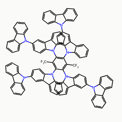 FC(F)(F)c1c(-n2c3ccccc3c3cc(-n4c5ccccc5c5ccccc54)ccc32)c(-n2c3ccccc3c3cc(-n4c5ccccc5c5ccccc54)ccc32)c(C(F)(F)F)c(-n2c3ccccc3c3cc(-n4c5ccccc5c5ccccc54)ccc32)c1-n1c2ccccc2c2cc(-n3c4ccccc4c4ccccc43)ccc21